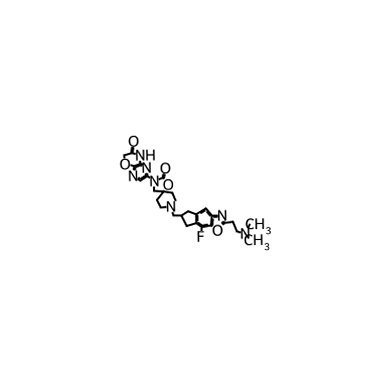 CN(C)CCc1nc2cc3c(c(F)c2o1)CC(CN1CCC2(CC1)CN(c1cnc4c(n1)NC(=O)CO4)C(=O)O2)C3